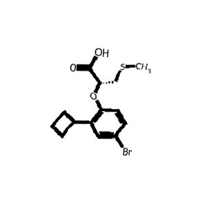 CSC[C@H](Oc1ccc(Br)cc1C1CCC1)C(=O)O